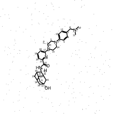 C[C@@H]1CN(c2ccc(CN(C)C)cc2)CCN1c1cccc(C(=O)N[C@H]2C3CC4CC2C[C@](O)(C4)C3)n1